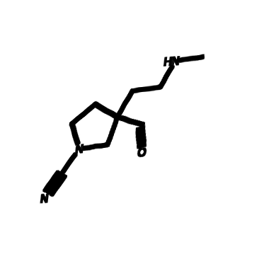 CNCCC1(C=O)CCN(C#N)C1